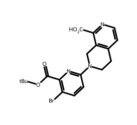 CC(C)(C)OC(=O)c1nc(N2CCc3ccnc(C(=O)O)c3C2)ccc1Br